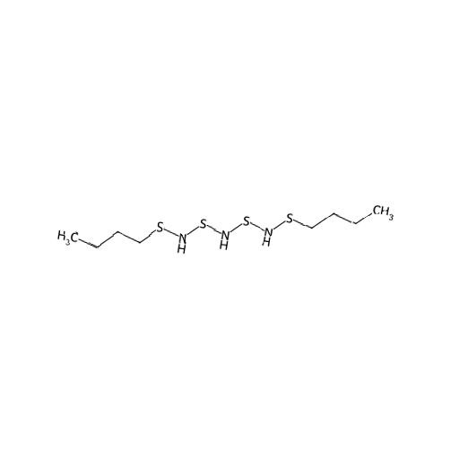 CCCCSNSNSNSCCCC